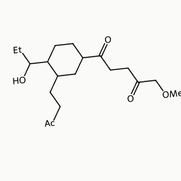 CCC(O)C1CCC(C(=O)CCC(=O)COC)CC1CCC(C)=O